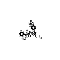 Cc1cn(-c2ccc3c(c2)OC(F)(F)O3)c(=NC(=O)N[C@@H](CO)c2ccccc2)s1